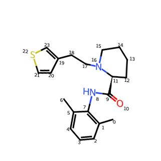 Cc1cccc(C)c1NC(=O)[C@@H]1CCCCN1CCc1ccsc1